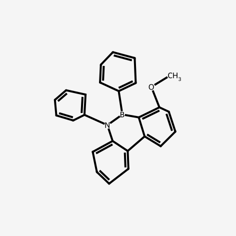 COc1cccc2c1B(c1ccccc1)N(c1ccccc1)c1ccccc1-2